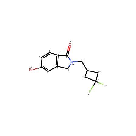 O=C1c2ccc(Br)cc2CN1CC1CC(F)(F)C1